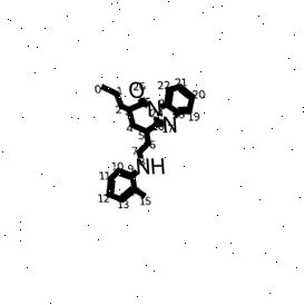 CCCC1CC(CCNc2ccccc2C)c2nc3ccccc3n2C1=O